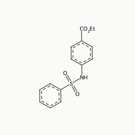 CCOC(=O)c1ccc(NS(=O)(=O)c2ccccc2)cc1